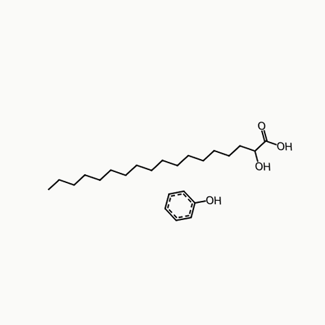 CCCCCCCCCCCCCCCCC(O)C(=O)O.Oc1ccccc1